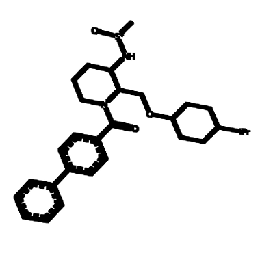 CC(C)C1CCC(OCC2C(N[S+](C)[O-])CCCN2C(=O)c2ccc(-c3ccccc3)cc2)CC1